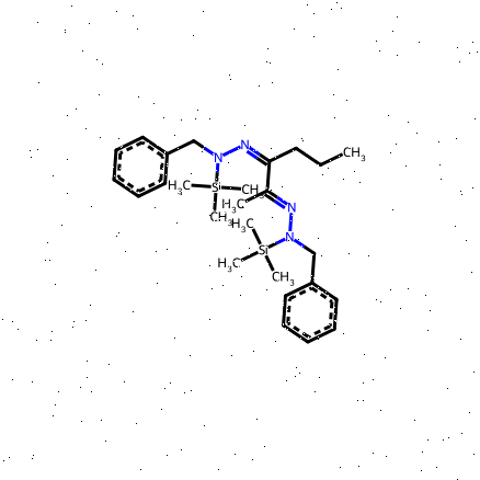 CCCC(=NN(Cc1ccccc1)[Si](C)(C)C)C(C)=NN(Cc1ccccc1)[Si](C)(C)C